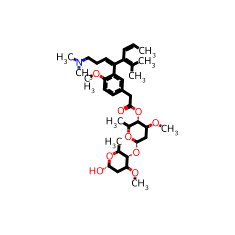 C/C=C\C(=C(C)C)/C(=C/CCN(C)C)c1cc(CC(=O)O[C@H]2C(C)O[C@@H](O[C@H]3C(C)O[C@@H](O)CC3OC)CC2OC)ccc1OC